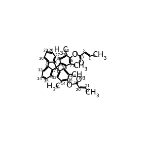 CC=CC(=O)Oc1c(C)cc(C2(c3cc(C)c(OC(=O)C=CC)c(C)c3)c3ccccc3-c3ccccc32)cc1C